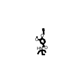 C#CCOc1ccc(C(=O)NC(CC)(CC)CC)cc1OC